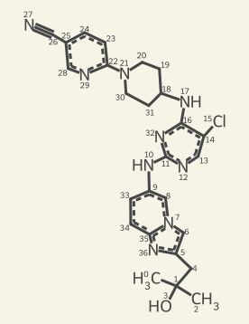 CC(C)(O)Cc1cn2cc(Nc3ncc(Cl)c(NC4CCN(c5ccc(C#N)cn5)CC4)n3)ccc2n1